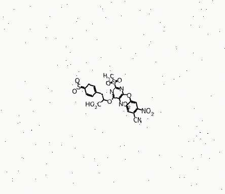 CS(=O)(=O)c1nc(Oc2ccc(C#N)c([N+](=O)[O-])c2)c([N+](=O)[O-])c(OC(CC2=CCC(=S(=O)=O)C=C2)C(=O)O)n1